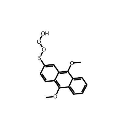 COc1c2ccccc2c(OC)c2cc(SOOO)ccc12